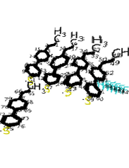 CCCC1CC=C(c2ccc([S])cc2)CC1.CCCC1CC=C(c2ccc([S])cc2)CC1.CCCC1CC=C(c2ccc([S])cc2)CC1.CCCC1CC=C(c2ccc([S])cc2)CC1.CCCC1CC=C(c2ccc([S])cc2)CC1.F.F.F.F.F